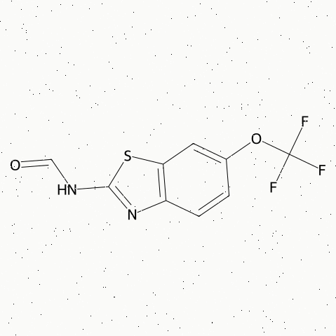 O=CNc1nc2ccc(OC(F)(F)F)cc2s1